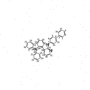 c1ccc(-c2ccc(-n3c4ccc5c6ccccc6n(-c6ccccc6)c5c4c4cccnc43)cc2)cc1